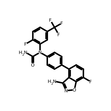 NC(=O)N(c1ccc(-c2ccc(F)c3onc(N)c23)cc1)c1cc(C(F)(F)F)ccc1F